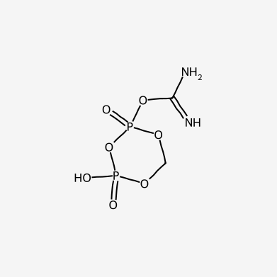 N=C(N)OP1(=O)OCOP(=O)(O)O1